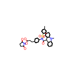 Cc1ccc(S(=O)(=O)N(C(=O)C2c3ccccc3N(C)c3ccccc32)c2ccc(CCC(=O)ON3C(=O)CCC3=O)cc2)cc1